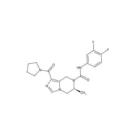 C[C@H]1Cn2cnc(C(=O)N3CCCC3)c2CN1C(=O)Nc1ccc(F)c(F)c1